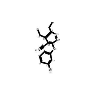 CCc1nnc(Sc2cccc(Br)c2)c(C#N)c1CC